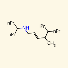 CCCC(NCC=CC(C)C(CCC)C(C)C)C(C)C